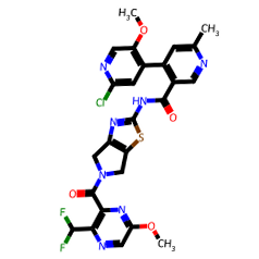 COc1cnc(C(F)F)c(C(=O)N2Cc3nc(NC(=O)c4cnc(C)cc4-c4cc(Cl)ncc4OC)sc3C2)n1